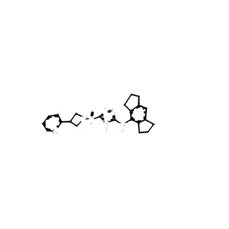 O=S(=O)(c1nnc(Nc2c3c(cc4c2CCC4)CCC3)[nH]1)N1CC(c2ccccn2)C1